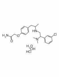 CC(Cc1ccc(OCC(N)=O)cc1)NCC(c1cccc(Cl)c1)N(C)C.Cl.Cl.O